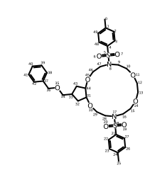 Cc1ccc(S(=O)(=O)N2CCOCCOCCN(S(=O)(=O)c3ccc(C)cc3)CCOC3CC(COCc4ccccc4)CC3OCC2)cc1